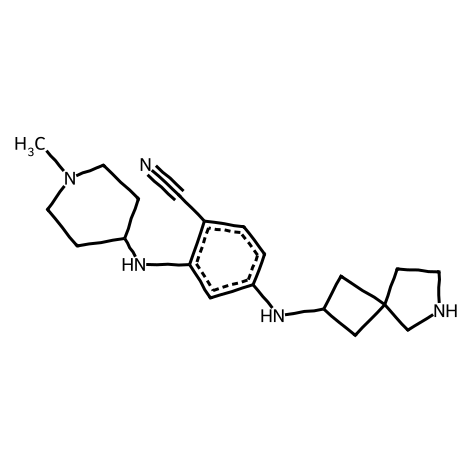 CN1CCC(Nc2cc(NC3CC4(CCNC4)C3)ccc2C#N)CC1